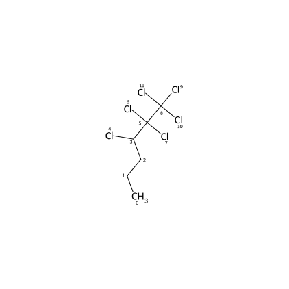 CCCC(Cl)C(Cl)(Cl)C(Cl)(Cl)Cl